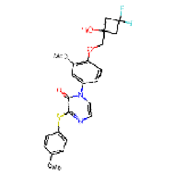 COc1ccc(Sc2nccn(-c3ccc(OCC4(O)CC(F)(F)C4)c(OC)c3)c2=O)cc1